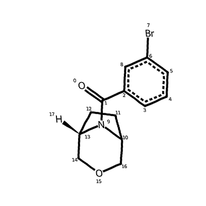 O=C(c1cccc(Br)c1)N1C2CC[C@H]1COC2